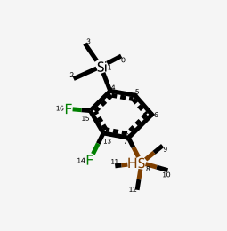 C[Si](C)(C)c1ccc([SH](C)(C)(C)C)c(F)c1F